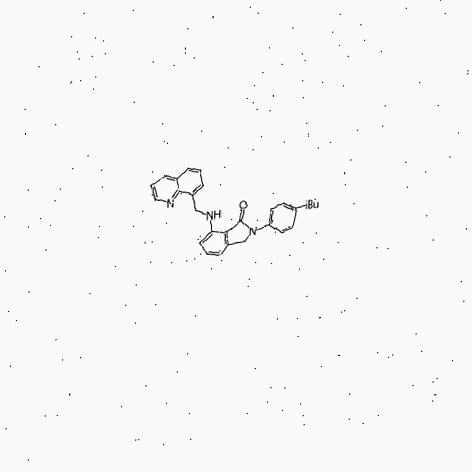 CCC(C)c1ccc(N2Cc3cccc(NCc4cccc5cccnc45)c3C2=O)cc1